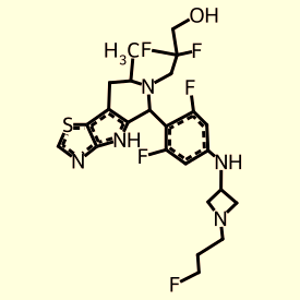 CC1Cc2c([nH]c3ncsc23)C(c2c(F)cc(NC3CN(CCCF)C3)cc2F)N1CC(F)(F)CO